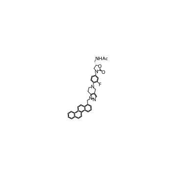 CC(=O)NC[C@H]1CN(c2ccc(N3CCc4c(cnn4Cc4cccc5c4ccc4c6ccccc6ccc54)C3)c(F)c2)C(=O)O1